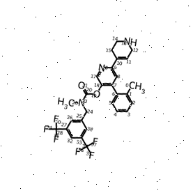 Cc1ccccc1-c1cc(C2=CCNCC2)ncc1OC(=O)N(C)Cc1cc(C(F)(F)F)cc(C(F)(F)F)c1